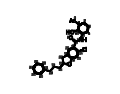 CC(=O)c1cccc(NC(=O)c2cc3c(cc2Cl)OC(CCCc2ccccc2)C3)c1O